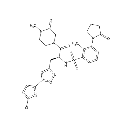 Cc1c(N2CCCC2=O)cccc1S(=O)(=O)N[C@@H](Cc1cc(-c2ccc(Cl)s2)on1)C(=O)N1CCN(C)C(=O)C1